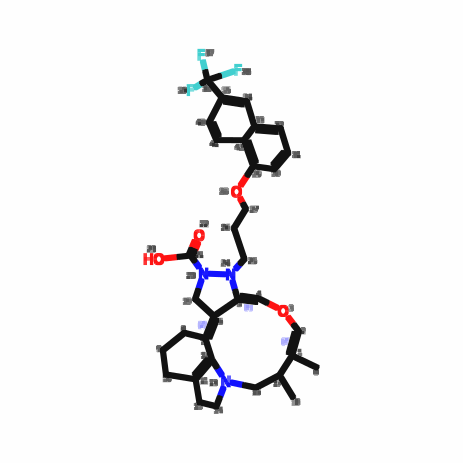 C/C1=C/O/C=C2\C(=C3\CCCC4=C3N(CC4)CC1C)CN(C(=O)O)N2CCCOc1cccc2cc(C(F)(F)F)ccc12